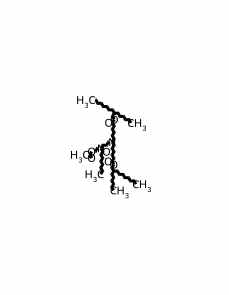 CCCCCCCCC(CCCCCC)COC(=O)CCCCCN(CCCCCC(=O)OCC(CCCCCC)CCCCCCCC)CCCN(CCOC(C)=O)C(=O)CCCCCCC